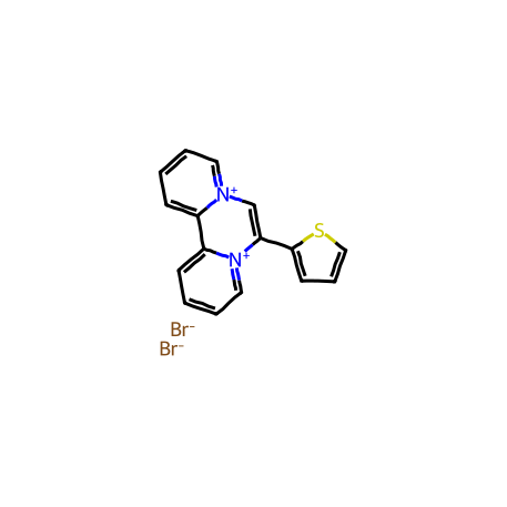 [Br-].[Br-].c1csc(-c2c[n+]3ccccc3c3cccc[n+]23)c1